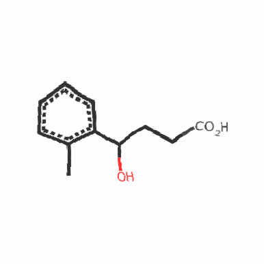 Cc1ccccc1C(O)CCC(=O)O